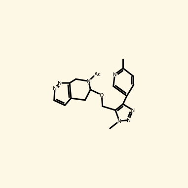 CC(=O)N1Cc2nnccc2CC1OCc1c(-c2ccc(C)nc2)nnn1C